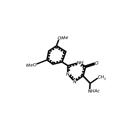 COc1cc(OC)cc(-c2nnc(C(C)NC(C)=O)c(=O)[nH]2)c1